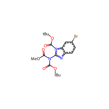 COC(=O)N(C(=O)OC(C)(C)C)c1nc2ccc(Br)cc2n1C(=O)OC(C)(C)C